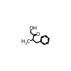 CC(Cc1ccccc1)C(=O)CO